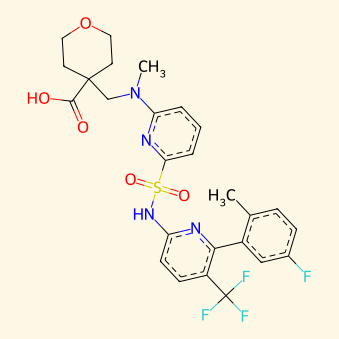 Cc1ccc(F)cc1-c1nc(NS(=O)(=O)c2cccc(N(C)CC3(C(=O)O)CCOCC3)n2)ccc1C(F)(F)F